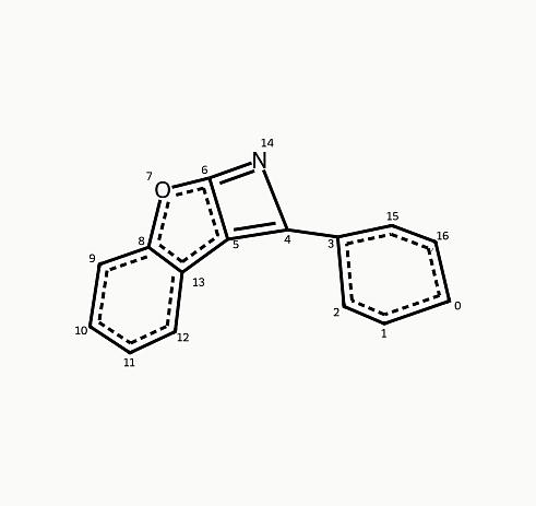 c1ccc(C2=c3c(oc4ccccc34)=N2)cc1